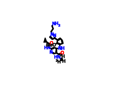 [2H]C([2H])([2H])NC(=O)c1cnc(NC(=O)C2CC2)cc1Nc1cccc(-c2ccn(CCCN)n2)c1OC